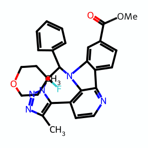 COC(=O)c1ccc2c3nccc(-c4c(C)nnn4C)c3n(C(c3ccccc3)C3(F)CCOCC3)c2c1